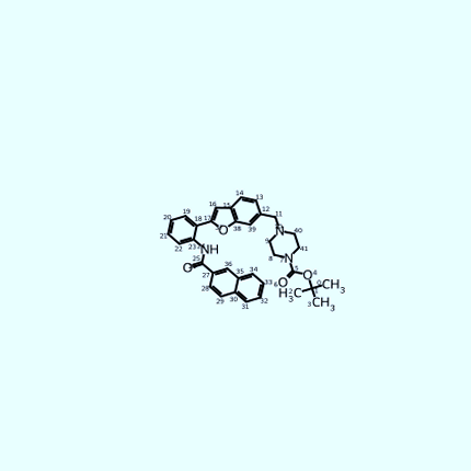 CC(C)(C)OC(=O)N1CCN(Cc2ccc3cc(-c4ccccc4NC(=O)c4ccc5ccccc5c4)oc3c2)CC1